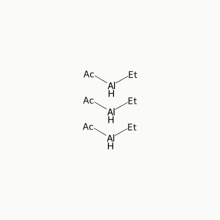 C[CH2][AlH][C](C)=O.C[CH2][AlH][C](C)=O.C[CH2][AlH][C](C)=O